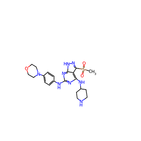 CS(=O)(=O)c1n[nH]c2nc(Nc3ccc(N4CCOCC4)cc3)nc(NC3CCNCC3)c12